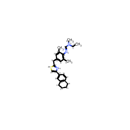 CCN(C)/C=N/c1c(C)cc(Cc2nc(-c3ccc4c(c3)CCCC4)cs2)cc1C